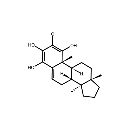 C[C@@]12CCC[C@H]1[C@@H]1CC=C3C(O)=C(O)C(O)=C(O)[C@]3(C)[C@H]1CC2